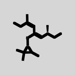 CC/C(C)=C\C(=C/[C@H](C)CC)OP1C(C)C1(C)C